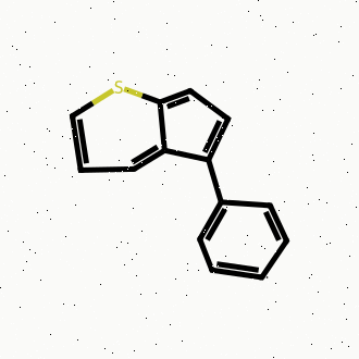 [c]1ccc(-c2ccc3scccc2-3)cc1